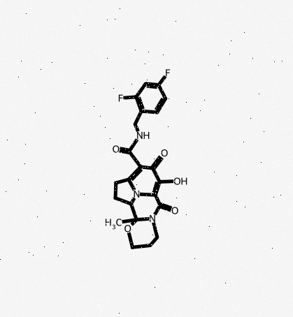 CC12OCCCN1C(=O)c1c(O)c(=O)c(C(=O)NCc3ccc(F)cc3F)c3n1C2CC3